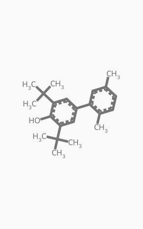 Cc1ccc(C)c(-c2cc(C(C)(C)C)c(O)c(C(C)(C)C)c2)c1